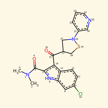 CN(C)C(=O)c1[nH]c2cc(Cl)ccc2c1C(=O)C1CSN(c2cccnc2)C1